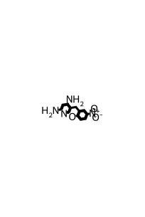 Nc1cc(N)c2c(n1)Oc1ccc([N+](=O)[O-])cc1C2